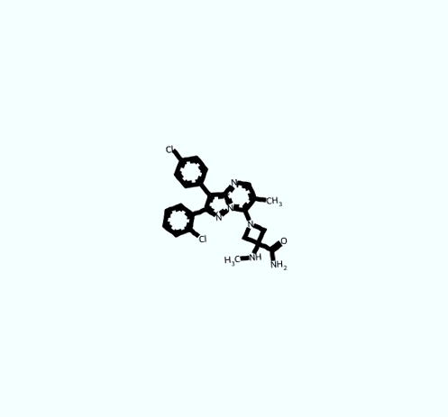 CNC1(C(N)=O)CN(c2c(C)cnc3c(-c4ccc(Cl)cc4)c(-c4ccccc4Cl)nn23)C1